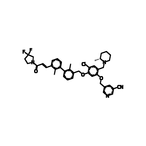 Cc1c(/C=C/C(=O)N2CCC(F)(F)C2)cccc1-c1cccc(COc2cc(OCc3cncc(C#N)c3)c(CN3CCCC[C@H]3C)cc2Cl)c1C